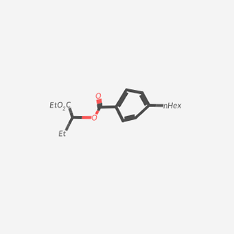 CCCCCCc1ccc(C(=O)OC(CC)C(=O)OCC)cc1